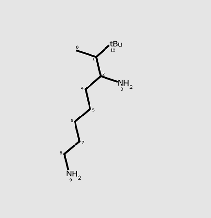 CC(C(N)CCCCCN)C(C)(C)C